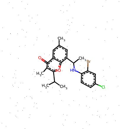 Cc1cc(C(C)Nc2ccc(Cl)cc2Br)c2oc(C(C)C)c(C)c(=O)c2c1